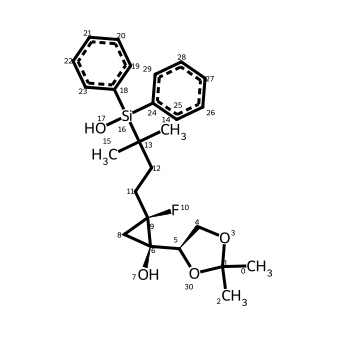 CC1(C)OC[C@H]([C@]2(O)C[C@]2(F)CCC(C)(C)[Si](O)(c2ccccc2)c2ccccc2)O1